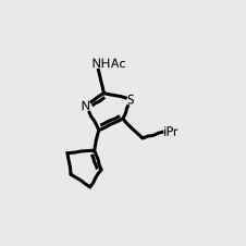 CC(=O)Nc1nc(C2=CCCC2)c(CC(C)C)s1